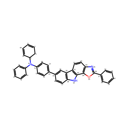 C1=CCC(N(c2ccccc2)c2ccc(-c3ccc4[nH]c5c(ccc6nc(-c7ccccc7)oc65)c4c3)cc2)C=C1